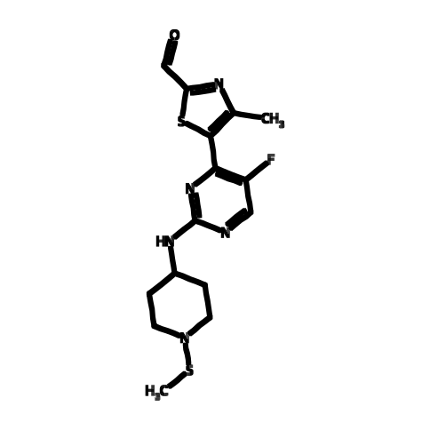 CSN1CCC(Nc2ncc(F)c(-c3sc(C=O)nc3C)n2)CC1